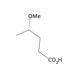 CO[C@@H](C)CCC(=O)O